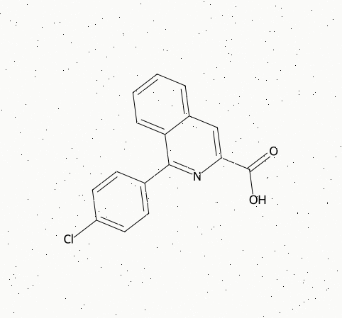 O=C(O)c1cc2ccccc2c(-c2ccc(Cl)cc2)n1